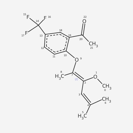 CO/C(C=C(C)C)=C(/C)Oc1ccc(C(F)(F)F)cc1C(C)=O